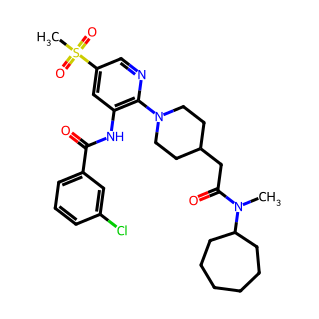 CN(C(=O)CC1CCN(c2ncc(S(C)(=O)=O)cc2NC(=O)c2cccc(Cl)c2)CC1)C1CCCCCC1